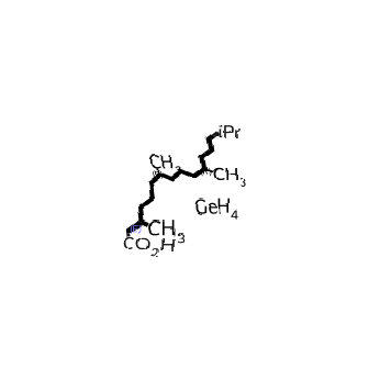 C/C(=C\C(=O)O)CCC[C@H](C)CCC[C@H](C)CCCC(C)C.[GeH4]